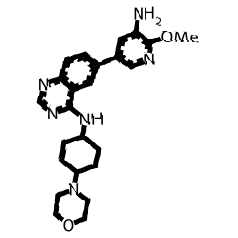 COc1ncc(-c2ccc3ncnc(NC4CCC(N5CCOCC5)CC4)c3c2)cc1N